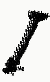 CN[C@@H](CCCCNC(=O)C(O)COCC(O)COCC(O)COCC(O)COCC(O)COCC(O)COCC(O)COCC(O)COCC(O)COCC(O)COCC(O)COCC(O)C(=O)N(C[C@H](O)[C@@H](O)[C@H](O)[C@H](O)CO)C[C@H](O)[C@@H](O)[C@H](O)[C@H](O)CO)C(=O)N[C@H](C(=O)N[C@@H](CCCNC(N)=O)C(=O)Nc1ccc(COI)cc1)C(C)C